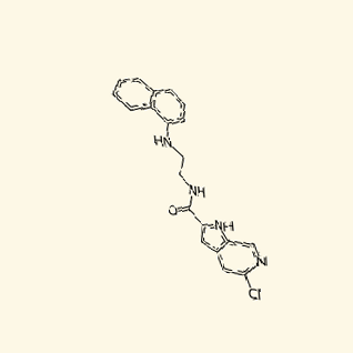 O=C(NCCNc1cccc2ccccc12)c1cc2cc(Cl)ncc2[nH]1